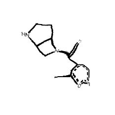 Cc1oncc1C(=O)N1CC2NCCC21